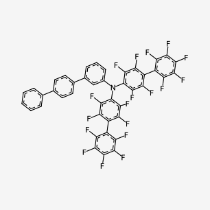 Fc1c(F)c(F)c(-c2c(F)c(F)c(N(c3cccc(-c4ccc(-c5ccccc5)cc4)c3)c3c(F)c(F)c(-c4c(F)c(F)c(F)c(F)c4F)c(F)c3F)c(F)c2F)c(F)c1F